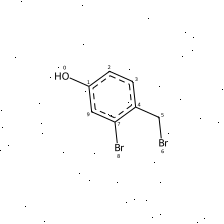 Oc1ccc(CBr)c(Br)c1